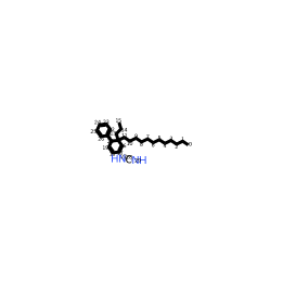 CCCCCCCCCCCCC1(CCC)C=CC=CC1c1ccccc1.N=C=N